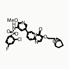 COc1ncc(-c2ccc3ncc(OCCN4C5CCC4OC5)c(=O)n3c2)cc1NS(=O)(=O)c1ccc(F)cc1Cl